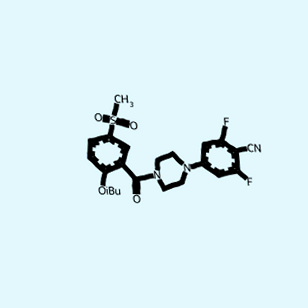 CC(C)COc1ccc(S(C)(=O)=O)cc1C(=O)N1CCN(c2cc(F)c(C#N)c(F)c2)CC1